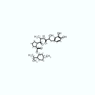 CC(NC(=O)C(O)Cc1ccc(O)c(O)c1)C(=O)N1CCCC1C(=O)O[C@@H]1C[C@H](C)CCC1C(C)C